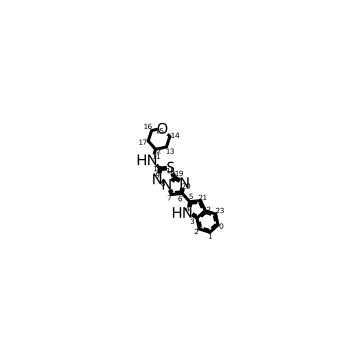 c1ccc2[nH]c(-c3cn4nc(NC5CCOCC5)sc4n3)cc2c1